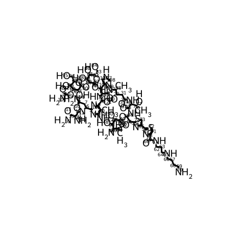 Cc1c(N)nc(C(CC(N)=O)NCC(N)C(N)=O)nc1C(=O)NC(C(=O)NC(C)C(O)CC(=O)NC(C(=O)NC(O[C@@H]1O[C@@H](C)[C@@H](N)[C@@H](O)[C@H]1O)C(O)c1nc(-c2nc(C(=O)NCCCNCCCCN)cs2)cs1)C(C)O)C(O[C@@H]1O[C@@H](CO)[C@@H](O)[C@H](O)[C@@H]1O[C@H]1O[C@H](CO)[C@@H](O)[C@H](OC(N)=O)[C@@H]1O)c1c[nH]cn1